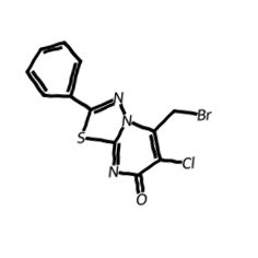 O=c1nc2sc(-c3ccccc3)nn2c(CBr)c1Cl